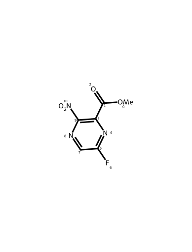 COC(=O)c1nc(F)cnc1[N+](=O)[O-]